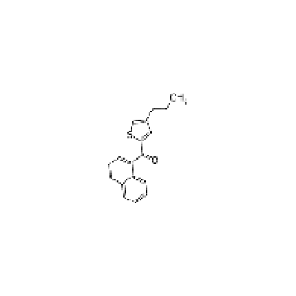 CCCc1csc(C(=O)c2cccc3ccccc23)c1